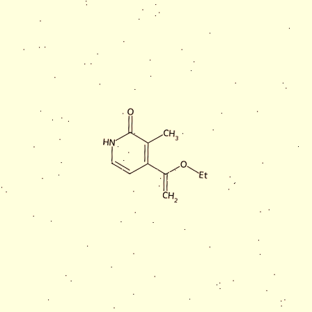 C=C(OCC)c1cc[nH]c(=O)c1C